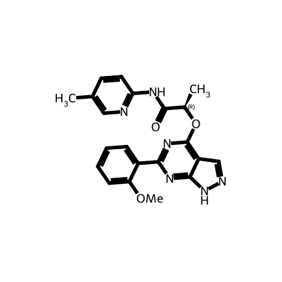 COc1ccccc1-c1nc(O[C@H](C)C(=O)Nc2ccc(C)cn2)c2cn[nH]c2n1